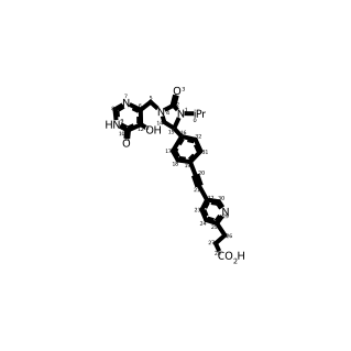 CC(C)N1C(=O)N(Cc2nc[nH]c(=O)c2O)CC1c1ccc(C#Cc2ccc(CCC(=O)O)nc2)cc1